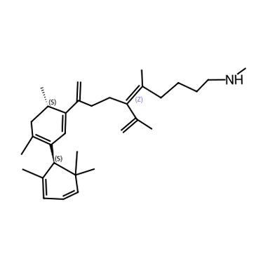 C=C(CC/C(C(=C)C)=C(\C)CCCCNC)C1=CC([C@@H]2C(C)=CC=CC2(C)C)=C(C)C[C@@H]1C